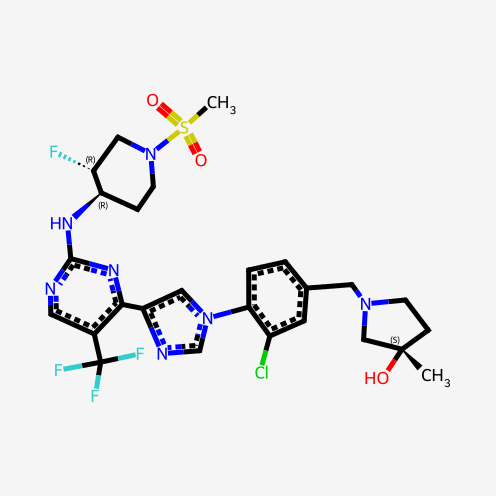 C[C@]1(O)CCN(Cc2ccc(-n3cnc(-c4nc(N[C@@H]5CCN(S(C)(=O)=O)C[C@H]5F)ncc4C(F)(F)F)c3)c(Cl)c2)C1